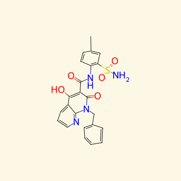 Cc1ccc(NC(=O)c2c(O)c3cccnc3n(Cc3ccccc3)c2=O)c(S(N)(=O)=O)c1